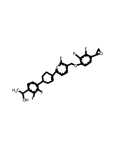 CC(O)c1ccc(C2CC=C(c3ccc(COc4ccc(C5CO5)c(F)c4F)c(F)c3)CC2)c(F)c1F